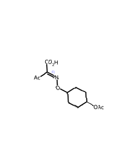 CC(=O)OC1CCC(O/N=C(\C(C)=O)C(=O)O)CC1